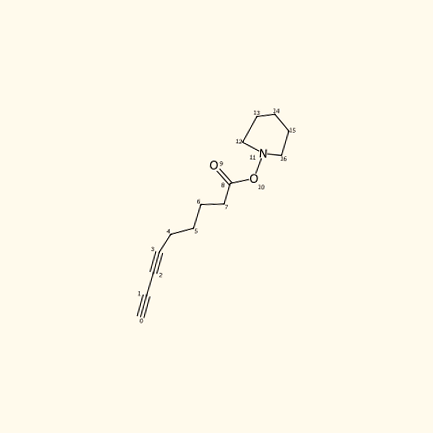 C#CC#CCCCCC(=O)ON1CCCCC1